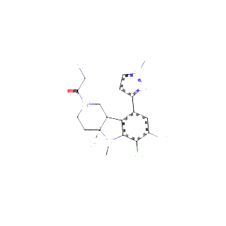 CN1c2c(Cl)c(Cl)cc(-c3ccn(C)n3)c2C2CN(C(=O)CI)CC[C@H]21